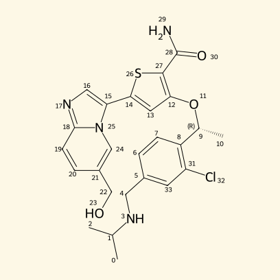 CC(C)NCc1ccc([C@@H](C)Oc2cc(-c3cnc4ccc(CO)cn34)sc2C(N)=O)c(Cl)c1